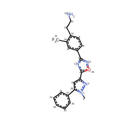 Cn1nc(-c2nc(-c3ccc(CCN)c(C(F)(F)F)c3)no2)cc1-c1ccccc1